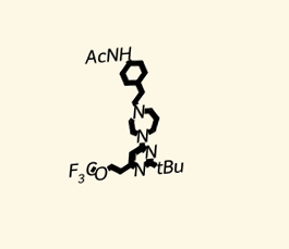 CC(=O)NC1CCC(CCN2CCCN(c3cc(CCOC(F)(F)F)nc(C(C)(C)C)n3)CC2)CC1